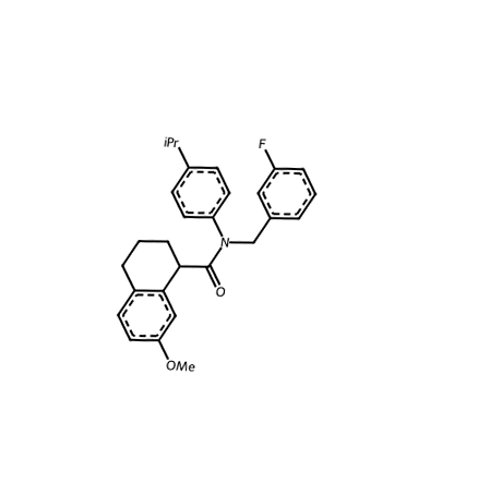 COc1ccc2c(c1)C(C(=O)N(Cc1cccc(F)c1)c1ccc(C(C)C)cc1)CCC2